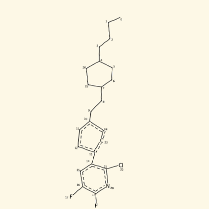 CCCCC1CCC(CCc2ccc(-c3cc(F)c(F)nc3Cl)cc2)CC1